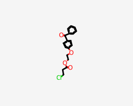 O=C(CCCl)OCCOc1ccc(C(=O)c2ccccc2)cc1